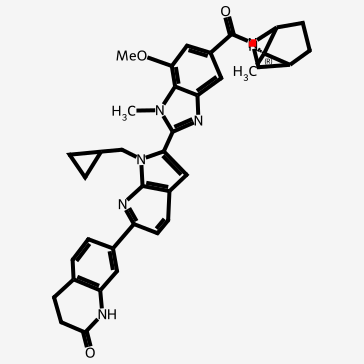 COc1cc(C(=O)N2CC3CCC2[C@@H]3C)cc2nc(-c3cc4ccc(-c5ccc6c(c5)NC(=O)CC6)nc4n3CC3CC3)n(C)c12